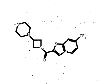 O=C(c1cc2ccc(C(F)(F)F)cc2s1)N1CC(N2CCNCC2)C1